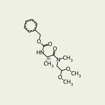 COC(CN(C)C(=O)[C@H](C)NC(=O)OCc1ccccc1)OC